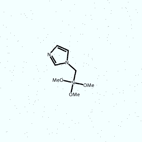 CO[Si](Cn1ccnc1)(OC)OC